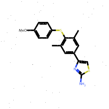 COc1ccc(Sc2c(C)cc(-c3csc(N)n3)cc2C)cc1